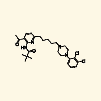 CC(=O)c1ccc(CCCCCN2CCN(c3cccc(Cl)c3Cl)CC2)nc1NC(=O)C(C)(C)C